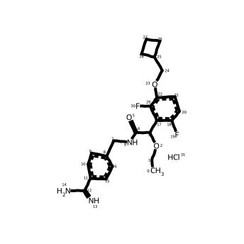 CCOC(C(=O)NCc1ccc(C(=N)N)cc1)c1c(F)ccc(OCC2CCC2)c1F.Cl